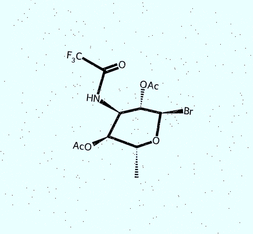 CC(=O)O[C@H]1[C@@H](NC(=O)C(F)(F)F)[C@H](OC(C)=O)[C@@H](Br)O[C@@H]1C